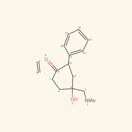 C=C.CNCC1(O)CCC(=O)C(c2ccccc2)C1